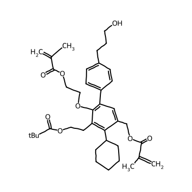 C=C(C)C(=O)OCCOc1c(-c2ccc(CCCO)cc2)cc(COC(=O)C(=C)C)c(C2CCCCC2)c1CCOC(=O)C(C)(C)C